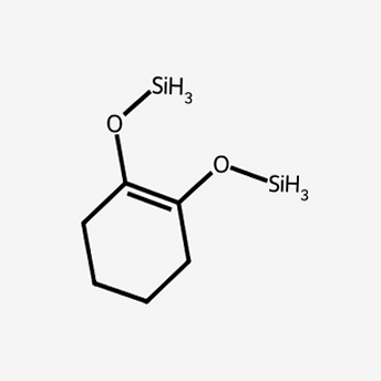 [SiH3]OC1=C(O[SiH3])CCCC1